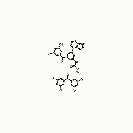 COC(=O)Nc1cc(C(=O)c2cc(C)nc(Cl)c2)cc(-c2cccc3[nH]ccc23)c1.Cc1cc(C(=O)c2cc(Br)cc(Br)c2)cc(Cl)n1